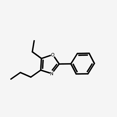 CCCc1nc(-c2ccccc2)oc1CC